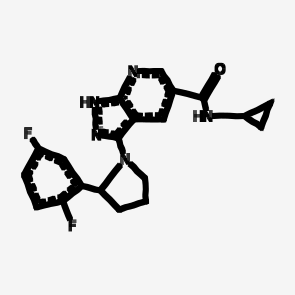 O=C(NC1CC1)c1cnc2[nH]nc(N3CCCC3c3cc(F)ccc3F)c2c1